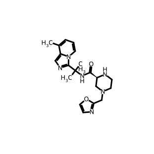 Cc1cccn2c(C(C)(C)NC(=O)[C@@H]3CN(Cc4ncco4)CCN3)ncc12